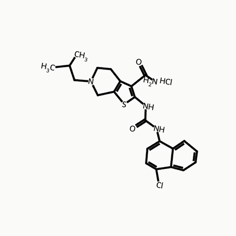 CC(C)CN1CCc2c(sc(NC(=O)Nc3ccc(Cl)c4ccccc34)c2C(N)=O)C1.Cl